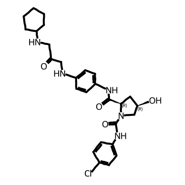 O=C(CNc1ccc(NC(=O)[C@H]2C[C@@H](O)CN2C(=O)Nc2ccc(Cl)cc2)cc1)CNC1CCCCC1